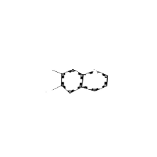 Oc1cc2cccnc2cc1F